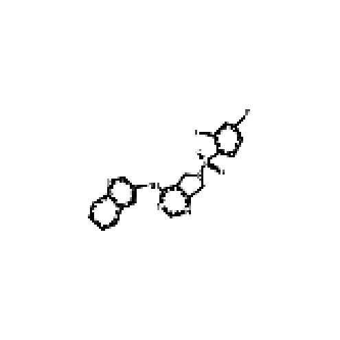 O=S(=O)(c1ccc(F)cc1F)N1Cc2ncnc(Nc3cnc4ccccc4c3)c2C1